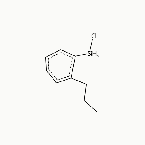 CCCc1ccccc1[SiH2]Cl